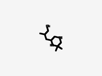 CC(CC1CNCC(C)(C)N1)CC(C)(C)C